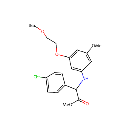 COC(=O)C(Nc1cc(OC)cc(OCCOC(C)(C)C)c1)c1ccc(Cl)cc1